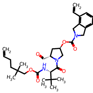 C=CCCC(C)(C)COC(=O)N[C@H](C(=O)N1C[C@H](OC(=O)N2Cc3cccc(C=C)c3C2)C[C@H]1C=O)C(C)(C)C